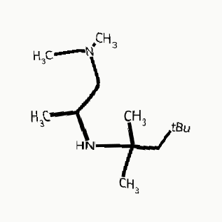 CC(CN(C)C)NC(C)(C)CC(C)(C)C